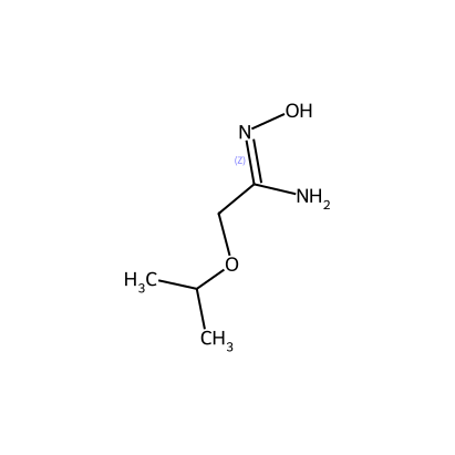 CC(C)OC/C(N)=N/O